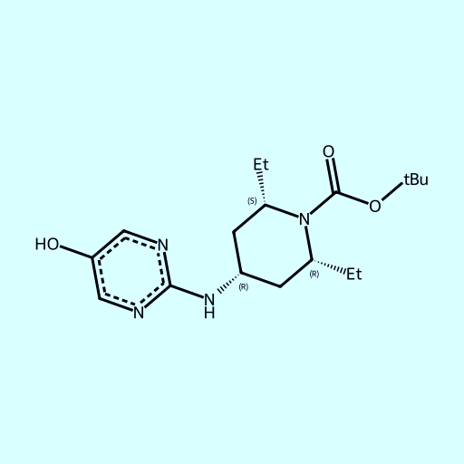 CC[C@@H]1C[C@H](Nc2ncc(O)cn2)C[C@H](CC)N1C(=O)OC(C)(C)C